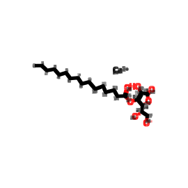 CCCCCCCCCCCCCCCC(=O)OC1=C(O)C(=O)O[C@@H]1[C@@H]([O-])C[O-].[Ca+2]